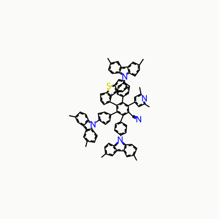 Cc1ccc2c(c1)c1cc(C)ccc1n2-c1ccc(-c2c(C#N)c(-c3cc(C)nc(C)c3)c(-c3ccc(-n4c5ccc(C)cc5c5cc(C)ccc54)cc3)c(-c3cccc4sc5ccccc5c34)c2-c2ccc(-n3c4ccc(C)cc4c4cc(C)ccc43)cc2)cc1